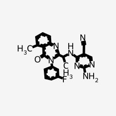 Cc1cccc2nc(C(C)Nc3nc(N)ncc3C#N)n(-c3cccc(F)c3)c(=O)c12